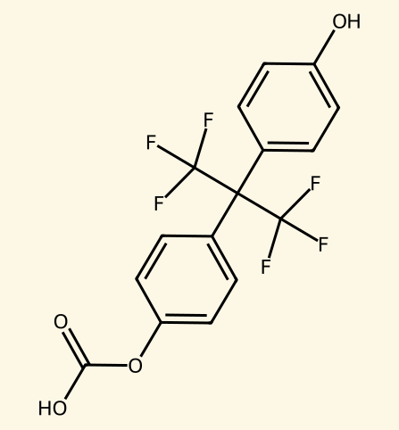 O=C(O)Oc1ccc(C(c2ccc(O)cc2)(C(F)(F)F)C(F)(F)F)cc1